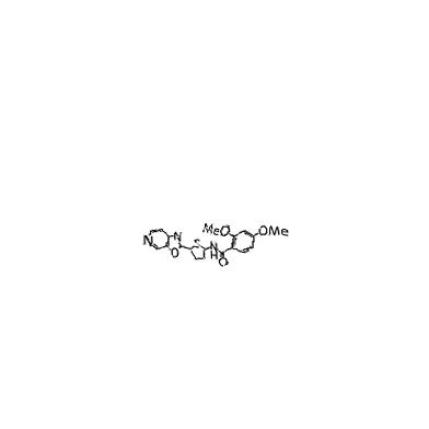 COc1ccc(C(=O)NC2=CCC(c3nc4ccncc4o3)S2)c(OC)c1